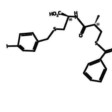 C[C@H](CSC(=O)c1ccccc1)C(=O)N[C@@H](CSCc1ccc(I)cc1)C(=O)O